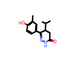 Cc1cc(C2=NNC(=O)CC2C(C)C)ccc1O